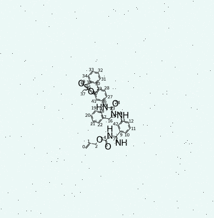 C=CCOC(=O)NC(=N)c1cccc(NN(Cc2ccccc2)C(=O)Nc2ccc(-c3ccccc3S(C)(=O)=O)cc2)c1